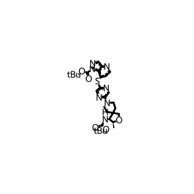 C[C@@H]1OCC2(CCN(c3cnc(Sc4ccnc5cnn(C(=O)OC(C)(C)C)c45)cn3)CC2)[C@@H]1NC(=O)OC(C)(C)C